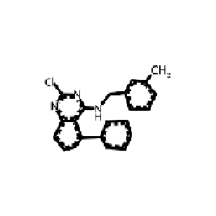 Cc1cccc(CNc2nc(Cl)nc3cccc(-c4ccccc4)c23)c1